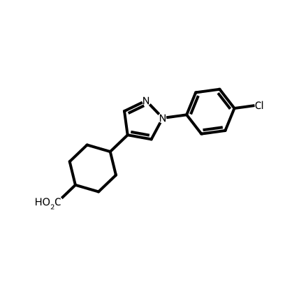 O=C(O)C1CCC(c2cnn(-c3ccc(Cl)cc3)c2)CC1